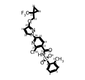 Cc1ccccc1S(=O)(=O)NC(=O)c1ccc(-n2ccc(OCC3(C(F)(F)F)CC3)n2)nc1Cl